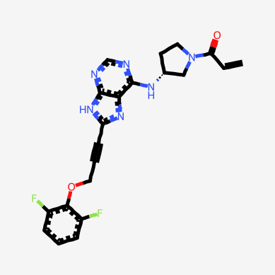 C=CC(=O)N1CC[C@@H](Nc2ncnc3[nH]c(C#CCOc4c(F)cccc4F)nc23)C1